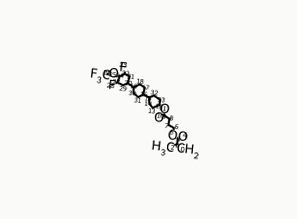 C=C(C)C(=O)OCCCC(=O)OC1CCC(C2CCC(C3CC(F)C(OC(F)(F)F)C(F)C3)CC2)CC1